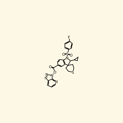 O=C(On1nnc2cccnc21)c1ccc2c(c1)C1(CCSCC1)C(C1CC1)N2S(=O)(=O)c1ccc(F)cc1